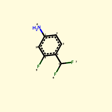 Nc1ccc(C(F)F)c(F)c1